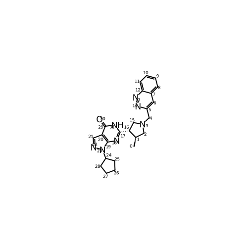 C[C@@H]1CN(Cc2cc3ccccc3nn2)C[C@H]1c1nc2c(cnn2C2CCCC2)c(=O)[nH]1